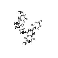 CN1CCN(c2nc(NCCS(=O)(=O)Nc3cccc(Cl)n3)c3cc(Cl)ncc3n2)CC1